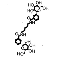 O=C(NCCCCCNC(=O)c1cccc([C@H]2O[C@H](CO)[C@@H](O)[C@H](O)[C@@H]2O)c1)c1cccc([C@H]2O[C@H](CO)[C@@H](O)[C@H](O)C2O)c1